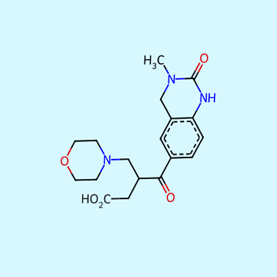 CN1Cc2cc(C(=O)C(CC(=O)O)CN3CCOCC3)ccc2NC1=O